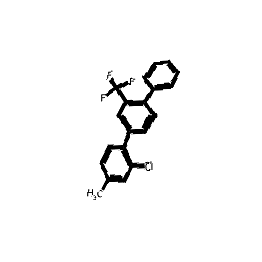 Cc1ccc(-c2ccc(-c3ccccc3)c(C(F)(F)F)c2)c(Cl)c1